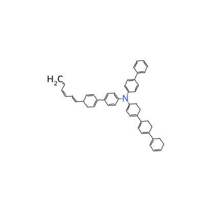 C=C/C=C\C=C\C1C=CC(c2ccc(N(C3=CC=C(C4=CC=C(C5=CC=CCC5)CC4)CC3)c3ccc(-c4ccccc4)cc3)cc2)=CC1